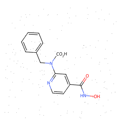 O=C(NO)c1ccnc(N(Cc2ccccc2)C(=O)O)c1